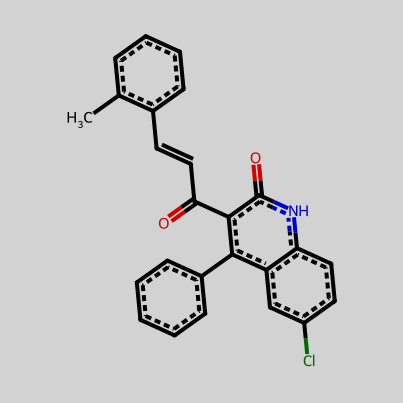 Cc1ccccc1C=CC(=O)c1c(-c2ccccc2)c2cc(Cl)ccc2[nH]c1=O